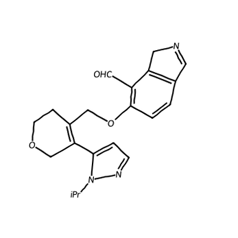 CC(C)n1nccc1C1=C(COc2ccc3c(c2C=O)CN=C3)CCOC1